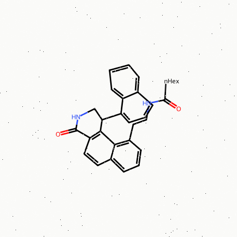 CCCCCCC(=O)NCCc1cccc2ccc3c(c12)C(c1cccc2ccccc12)CNC3=O